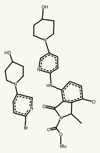 CC1c2c(Cl)ccc(Nc3ccc(N4CCC(O)CC4)cn3)c2C(=O)N1C(=O)OC(C)(C)C.OC1CCN(c2ccc(Br)nc2)CC1